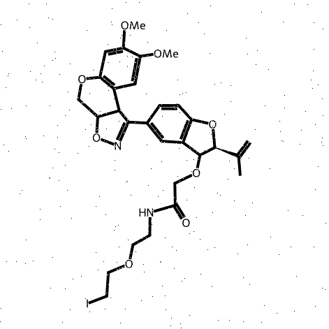 C=C(C)[C@@H]1Oc2ccc(C3=NOC4COc5cc(OC)c(OC)cc5C34)cc2C1OCC(=O)NCCOCCI